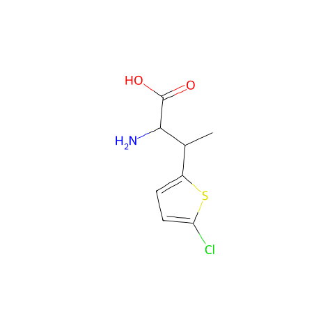 CC(c1ccc(Cl)s1)C(N)C(=O)O